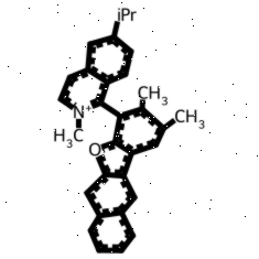 Cc1cc2c(oc3cc4ccccc4cc32)c(-c2c3ccc(C(C)C)cc3cc[n+]2C)c1C